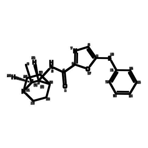 C[C@H]1[C@H](NC(=O)c2ncc(Sc3ccccc3)o2)C2CCN1CC2